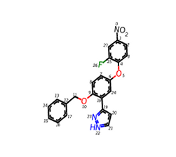 O=[N+]([O-])c1ccc(Oc2ccc(OCc3ccccc3)c(-c3cc[nH]n3)c2)c(F)c1